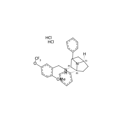 COc1ccc(OC(F)(F)F)cc1CN[C@@H]1CC[C@H]2CC[C@]1(c1ccccc1)N2Cc1ccccc1.Cl.Cl